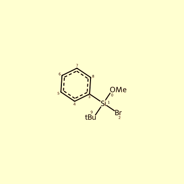 CO[Si](Br)(c1ccccc1)C(C)(C)C